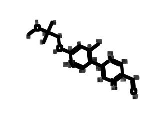 COC(C)(C)COc1cc(C)c(-c2cnc(C=O)cn2)cn1